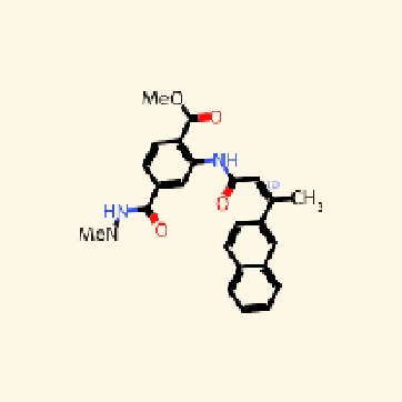 CNNC(=O)c1ccc(C(=O)OC)c(NC(=O)/C=C(/C)c2ccc3ccccc3c2)c1